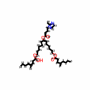 CCCCC(C)CCC(=O)OCCCCCCC(CCCCCCO[C@H](O)CCC(C)CCCC)OC(=O)CCCn1ccnc1C